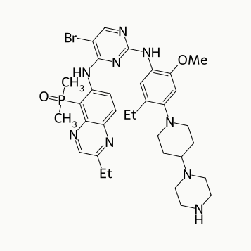 CCc1cnc2c(P(C)(C)=O)c(Nc3nc(Nc4cc(CC)c(N5CCC(N6CCNCC6)CC5)cc4OC)ncc3Br)ccc2n1